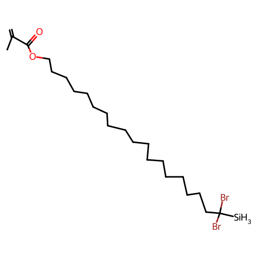 C=C(C)C(=O)OCCCCCCCCCCCCCCCCCCC([SiH3])(Br)Br